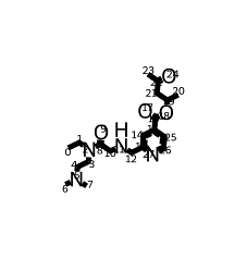 CCN(CCN(C)C)C(=O)CNCc1cc(C(=O)OC(C)CC(C)=O)ccn1